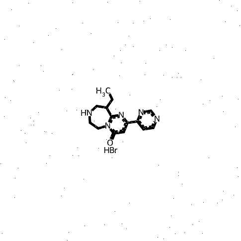 Br.CCC1CNCCn2c1nc(-c1ccncn1)cc2=O